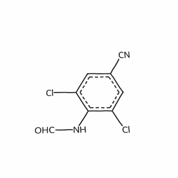 N#Cc1cc(Cl)c(NC=O)c(Cl)c1